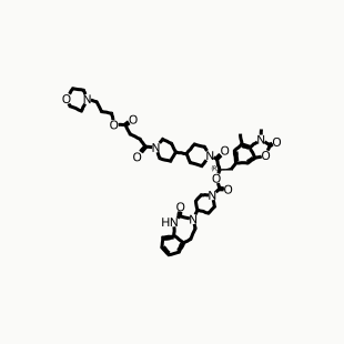 Cc1cc(C[C@@H](OC(=O)N2CCC(N3CCc4ccccc4NC3=O)CC2)C(=O)N2CCC(C3CCN(C(=O)CCC(=O)OCCCN4CCOCC4)CC3)CC2)cc2oc(=O)n(C)c12